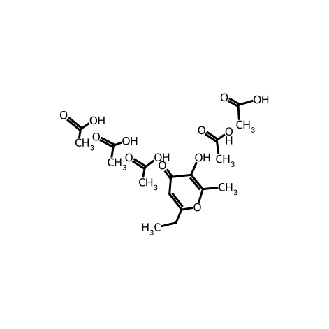 CC(=O)O.CC(=O)O.CC(=O)O.CC(=O)O.CC(=O)O.CCc1cc(=O)c(O)c(C)o1